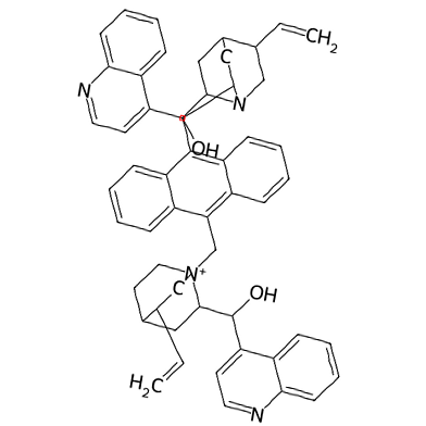 C=CC1CN2C(Cc3c4ccccc4c(C[N+]45CCC(CC4C(O)c4ccnc6ccccc46)C(C=C)C5)c4ccccc34)CC1CC2C(O)c1ccnc2ccccc12